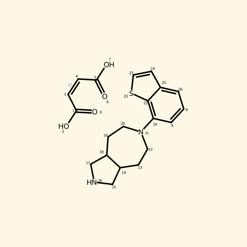 O=C(O)/C=C\C(=O)O.c1cc(N2CCC3CNCC3CC2)c2sccc2c1